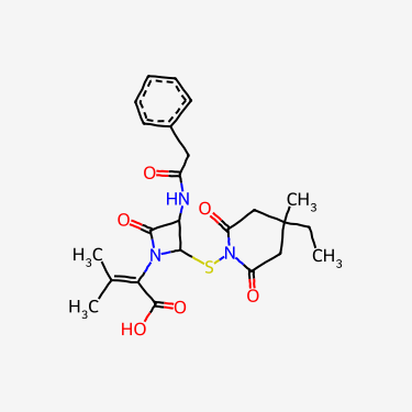 CCC1(C)CC(=O)N(SC2C(NC(=O)Cc3ccccc3)C(=O)N2C(C(=O)O)=C(C)C)C(=O)C1